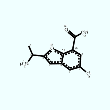 CC(N)c1cc2cc(Cl)cc(C(=O)O)c2o1